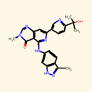 Cc1n[nH]c2cc(Nc3nc(-c4ccc(C(C)(C)O)nc4)cc4ncn(C)c(=O)c34)ccc12